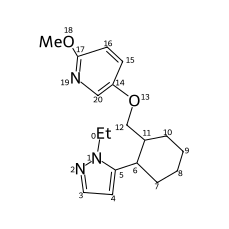 CCn1nccc1C1CCCCC1COc1ccc(OC)nc1